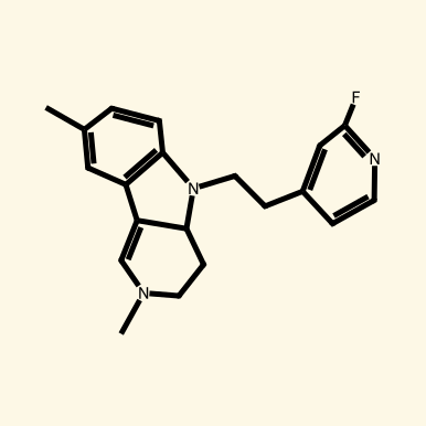 Cc1ccc2c(c1)C1=CN(C)CCC1N2CCc1ccnc(F)c1